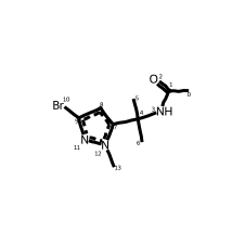 CC(=O)NC(C)(C)c1cc(Br)nn1C